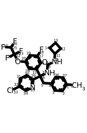 Cc1ccc(CC(NC(=O)NC2CCC2)(c2cc(F)cc(OC(F)(F)C(F)F)c2)c2ccc(Cl)cn2)cc1